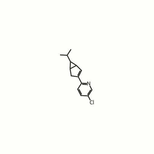 CC(C)C1C2C=C(c3ccc(Cl)cn3)CC21